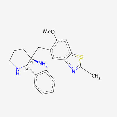 COc1cc2sc(C)nc2cc1C[C@@]1(N)CCCN[C@H]1c1ccccc1